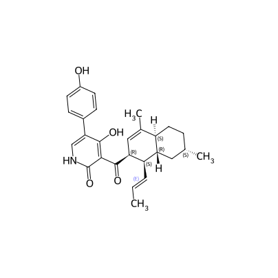 C/C=C/[C@@H]1[C@H]2C[C@@H](C)CC[C@@H]2C(C)=C[C@@H]1C(=O)c1c(O)c(-c2ccc(O)cc2)c[nH]c1=O